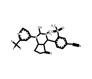 CN1C(c2ccc(C#N)cc2S(C)(=O)=O)C2C(=O)CCC2N(c2ccnc(C(F)(F)F)c2)C1O